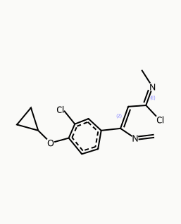 C=N/C(=C\C(Cl)=N/C)c1ccc(OC2CC2)c(Cl)c1